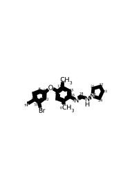 Cc1cc(Oc2ccc(I)c(Br)c2)c(C)cc1/N=C/NN1CCCC1